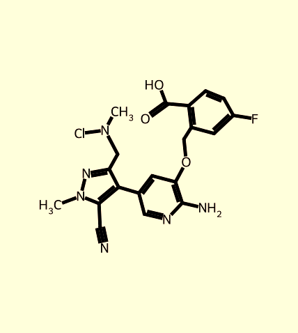 CN(Cl)Cc1nn(C)c(C#N)c1-c1cnc(N)c(OCc2cc(F)ccc2C(=O)O)c1